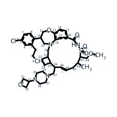 CCCc1cc(Cl)ccc1C1COc2ccc3cc2N(C1)CC1CCC1C(CN1CCN(C2COC2)CC1)/C=C/CC(C)C(COC)S(=O)(=O)NC3=O